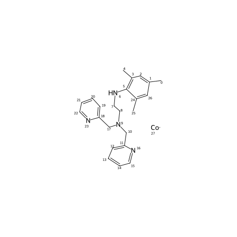 Cc1cc(C)c(NCCN(Cc2ccccn2)Cc2ccccn2)c(C)c1.[Co]